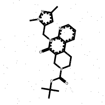 Cc1cc(Cn2c(=O)c3c(c4cccnc42)CCN(C(=O)OC(C)(C)C)C3)n(C)n1